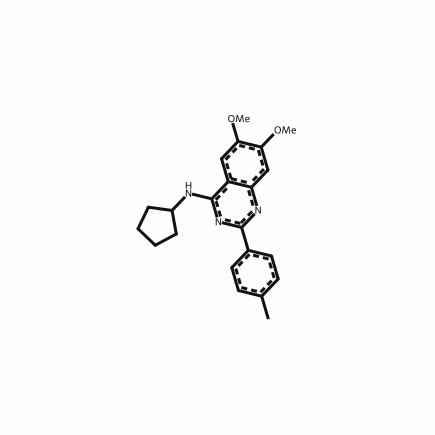 COc1cc2nc(-c3ccc(C)cc3)nc(NC3CCCC3)c2cc1OC